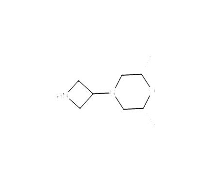 C[C@@H]1CN(C2CNC2)C[C@H](C)O1